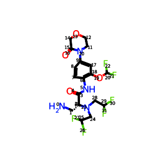 NC[C@H](C(=O)Nc1ccc(N2CCOCC2=O)cc1OC(F)F)N(CC(F)F)CC(F)F